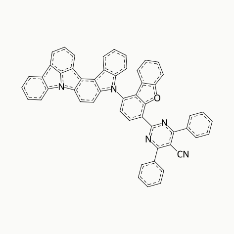 N#Cc1c(-c2ccccc2)nc(-c2ccc(-n3c4ccccc4c4c5c6cccc7c8ccccc8n(c5ccc43)c76)c3c2oc2ccccc23)nc1-c1ccccc1